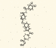 Cn1c(C(=O)N2CCN(C(=O)OC(C)(C)C)CC2)cc2ccc(Oc3ccc(NCC(=O)c4ccc(Cl)c(Cl)c4)cn3)cc21